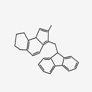 CC1=CC2C(=C1CC1c3ccccc3-c3ccccc31)C=CC1=C2CCCC1